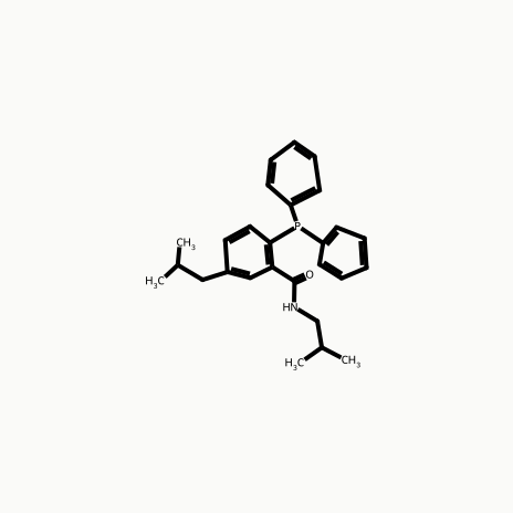 CC(C)CNC(=O)c1cc(CC(C)C)ccc1P(c1ccccc1)c1ccccc1